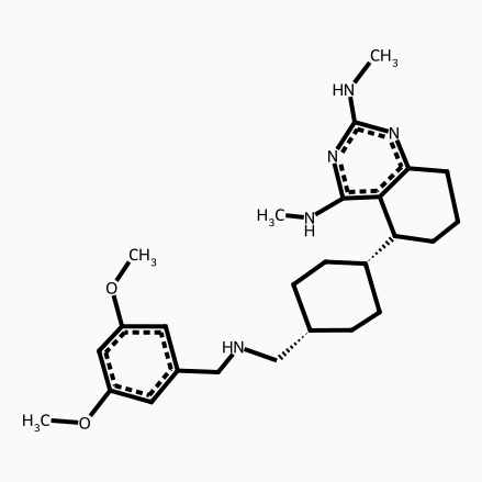 CNc1nc2c(c(NC)n1)C([C@H]1CC[C@@H](CNCc3cc(OC)cc(OC)c3)CC1)CCC2